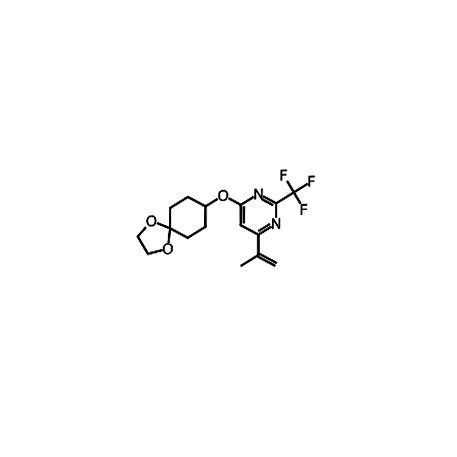 C=C(C)c1cc(OC2CCC3(CC2)OCCO3)nc(C(F)(F)F)n1